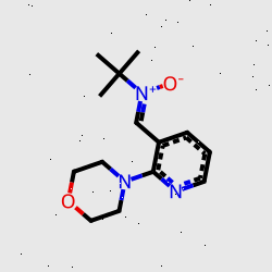 CC(C)(C)[N+]([O-])=Cc1cccnc1N1CCOCC1